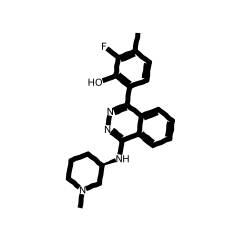 Cc1ccc(-c2nnc(N[C@@H]3CCCN(C)C3)c3ccccc23)c(O)c1F